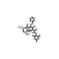 C[C@H]1C=C[C@H](O)[C@H]2CN1C(=O)c1c(OCc3ccccc3)c(=O)c(C(=O)NCc3c(F)cc(F)cc3F)cn12